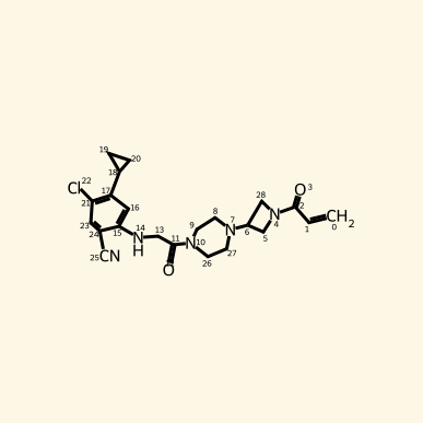 C=CC(=O)N1CC(N2CCN(C(=O)CNc3cc(C4CC4)c(Cl)cc3C#N)CC2)C1